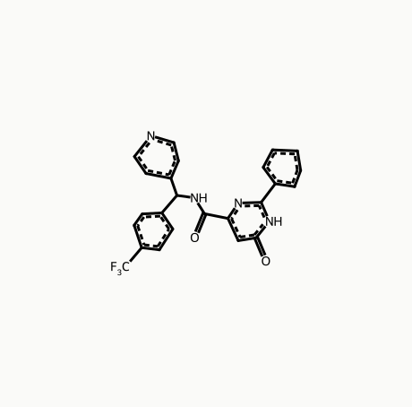 O=C(NC(c1ccncc1)c1ccc(C(F)(F)F)cc1)c1cc(=O)[nH]c(-c2ccccc2)n1